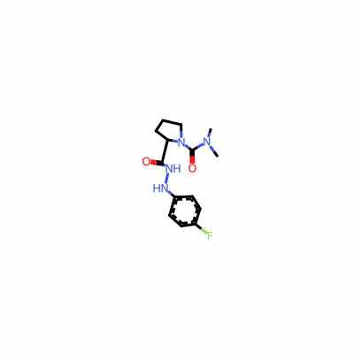 CN(C)C(=O)N1CCCC1C(=O)NNc1ccc(F)cc1